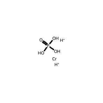 O=P(O)(O)O.[Cr].[H+].[H+]